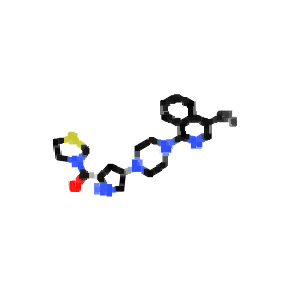 O=C([C@@H]1C[C@H](N2CCN(c3ncc(C(F)(F)F)c4ccccc34)CC2)CN1)N1CCSC1